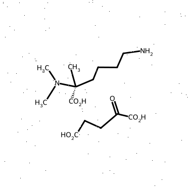 CN(C)[C@@](C)(CCCCN)C(=O)O.O=C(O)CCC(=O)C(=O)O